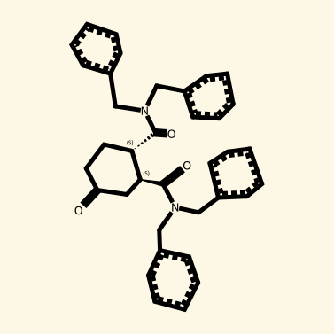 O=C1CC[C@H](C(=O)N(Cc2ccccc2)Cc2ccccc2)[C@@H](C(=O)N(Cc2ccccc2)Cc2ccccc2)C1